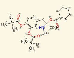 CCC(C)N[C@@](Cc1ccc(OC(=O)C(C)(C)CC)c(OC(=O)C(C)(C)CC)c1)(OC(=O)C1CCCCC1)C(=O)O